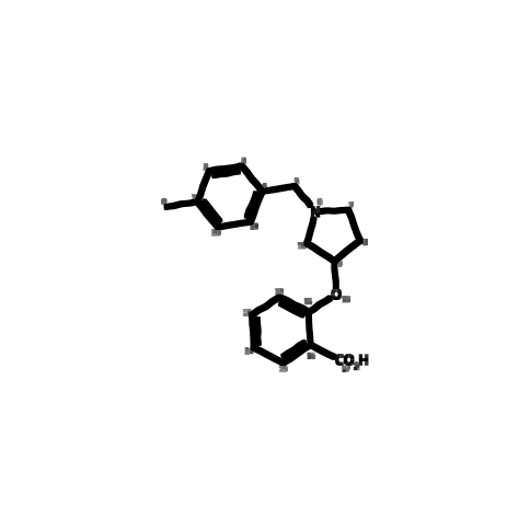 Cc1ccc(CN2CCC(Oc3ccccc3C(=O)O)C2)cc1